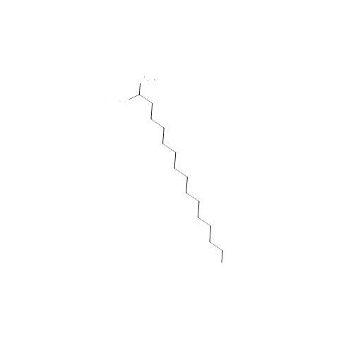 CCCCCCCCCC(CCCCCC)CCCCCCCCCCCCC[C]=O